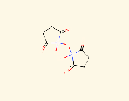 O=C1CCC(=O)[N+]1(O)O[N+]1(O)C(=O)CCC1=O